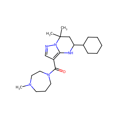 CN1CCCN(C(=O)c2cnn3c2NC(C2CCCCC2)CC3(C)C)CC1